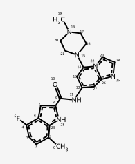 Cc1ccc(F)c2cc(C(=O)Nc3cc(N4CCN(C)CC4)n4ccnc4c3)[nH]c12